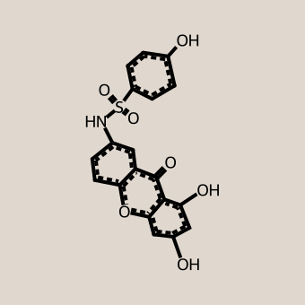 O=c1c2cc(NS(=O)(=O)c3ccc(O)cc3)ccc2oc2cc(O)cc(O)c12